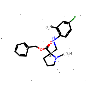 O=C(O)N1CCC[C@]1(CNc1ccc(F)cc1[N+](=O)[O-])C(=O)OCc1ccccc1